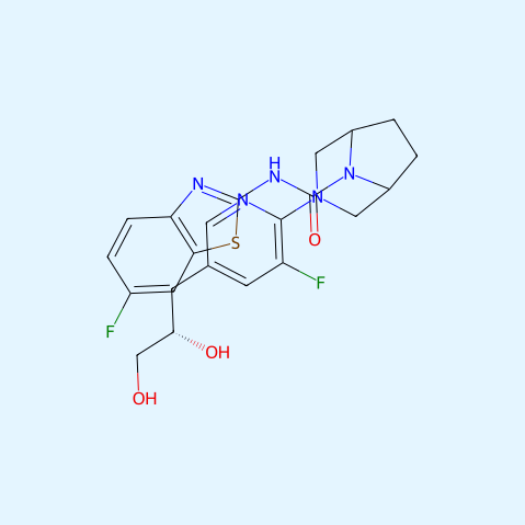 O=C(Nc1nc2ccc(F)cc2s1)N1C2CCC1CN(c1ncc(C[C@H](O)CO)cc1F)C2